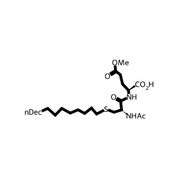 CCCCCCCCCCCCCCCCCCSC[C@@H](NC(C)=O)C(=O)N[C@@H](CCC(=O)OC)C(=O)O